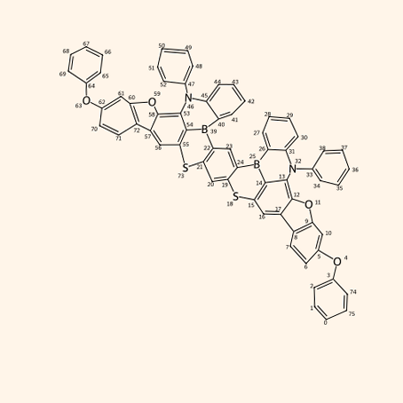 c1ccc(Oc2ccc3c(c2)oc2c4c5c(cc23)Sc2cc3c(cc2B5c2ccccc2N4c2ccccc2)B2c4ccccc4N(c4ccccc4)c4c2c(cc2c4oc4cc(Oc5ccccc5)ccc42)S3)cc1